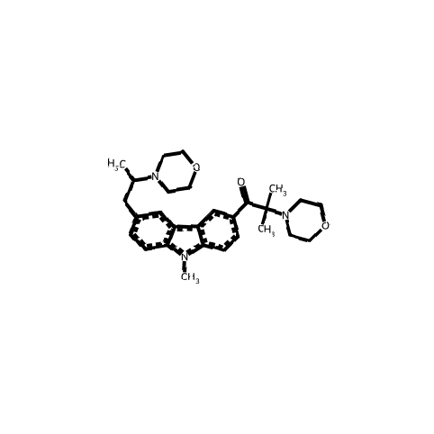 CC(Cc1ccc2c(c1)c1cc(C(=O)C(C)(C)N3CCOCC3)ccc1n2C)N1CCOCC1